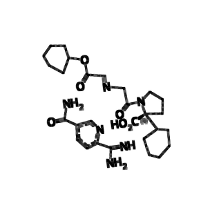 N=C(N)c1ccc(C(N)=O)cn1.O=C(C=NCC(=O)N1CCC[C@]1(C(=O)O)C1CCCCC1)OC1CCCCC1